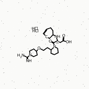 Cl.Cl.N=C(N)N1CCC(OCCC2CCCCN2C(=O)[C@H](CC(=O)O)NC2CCC=CCC2)CC1